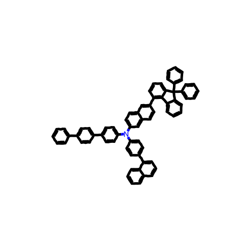 c1ccc(-c2ccc(-c3ccc(N(c4ccc(-c5cccc6ccccc56)cc4)c4ccc5cc(-c6cccc7c6-c6ccccc6C7(c6ccccc6)c6ccccc6)ccc5c4)cc3)cc2)cc1